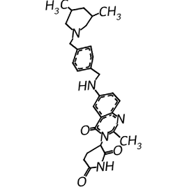 Cc1nc2ccc(NCc3ccc(CN4CC(C)CC(C)C4)cc3)cc2c(=O)n1C1CCC(=O)NC1=O